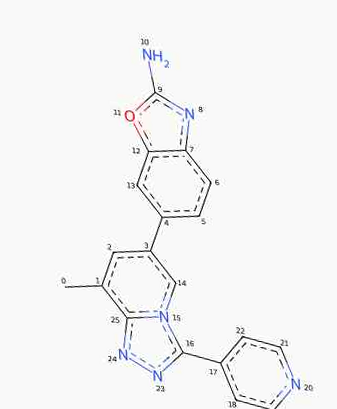 Cc1cc(-c2ccc3nc(N)oc3c2)cn2c(-c3ccncc3)nnc12